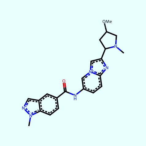 COC1CC(c2cn3cc(NC(=O)c4ccc5c(cnn5C)c4)ccc3n2)N(C)C1